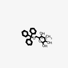 C[C@@H]1C(O)C(O)OC(COC(c2ccccc2)(c2ccccc2)c2ccccc2)[C@H]1O